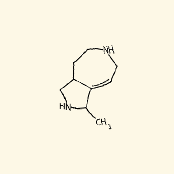 CC1NCC2CCNCC=C21